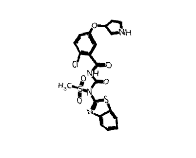 CS(=O)(=O)N(C(=O)NC(=O)c1cc(OC2CCNC2)ccc1Cl)c1nc2ccccc2s1